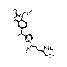 COCn1c(=O)sc2cc(C(C)c3ccn(/C(N)=C/C=C(\N)CO)n3)ccc21